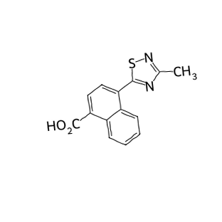 Cc1nsc(-c2ccc(C(=O)O)c3ccccc23)n1